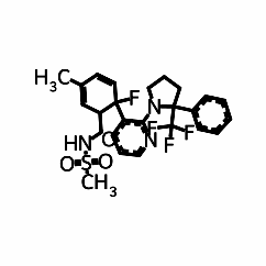 CC1=CC(C(=O)NS(C)(=O)=O)C(F)(c2cccnc2N2CCCC2(c2ccccc2)C(F)(F)F)C=C1